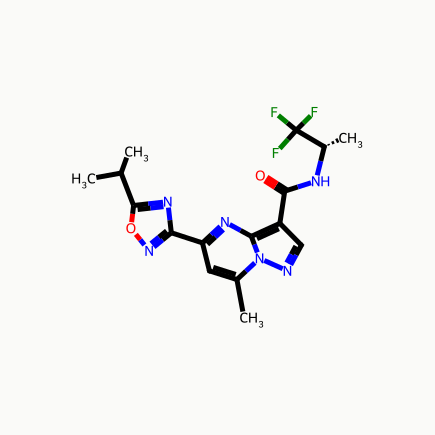 Cc1cc(-c2noc(C(C)C)n2)nc2c(C(=O)N[C@@H](C)C(F)(F)F)cnn12